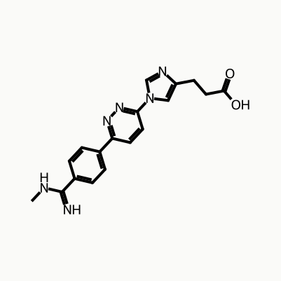 CNC(=N)c1ccc(-c2ccc(-n3cnc(CCC(=O)O)c3)nn2)cc1